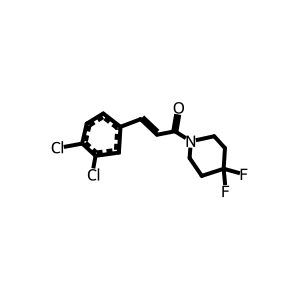 O=C(C=Cc1ccc(Cl)c(Cl)c1)N1CCC(F)(F)CC1